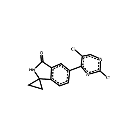 O=C1NC2(CC2)c2ccc(-c3nc(Cl)ncc3Cl)cc21